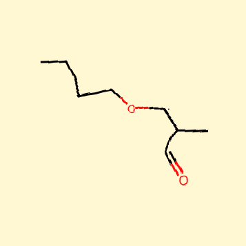 CCCCO[CH]C(C)C=O